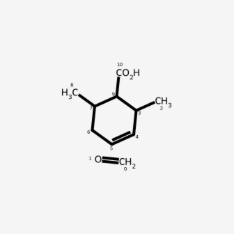 C=O.CC1C=CCC(C)C1C(=O)O